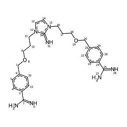 N=C(N)c1ccc(COCCCn2ccn(CCCOCc3ccc(C(=N)N)cc3)c2=N)cc1